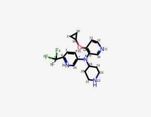 FC(F)(F)c1ccc(N(c2cnccc2OC2CC2)C2CCNCC2)cn1